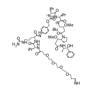 CCC(C)[C@@H]([C@@H](CC(=O)N1CCC[C@H]1[C@H](OC)[C@@H](C)C(=O)N[C@H](C)[C@@H](O)c1ccccc1)OC)N(C)C(=O)[C@@H](NC(=O)[C@H](C(C)C)N(C)C(=O)OCc1ccc(NC(=O)C(CCCNC(N)=O)NC(=O)[C@@H](NC(=O)CCOCCOCCOCCOCCC=N)C(C)C)cc1)C(C)C